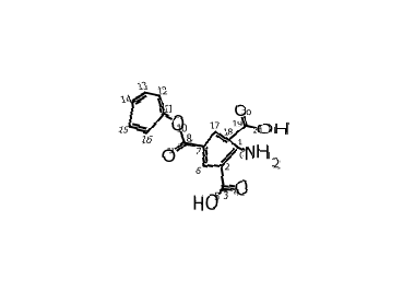 Nc1c(C(=O)O)cc(C(=O)Oc2ccccc2)cc1C(=O)O